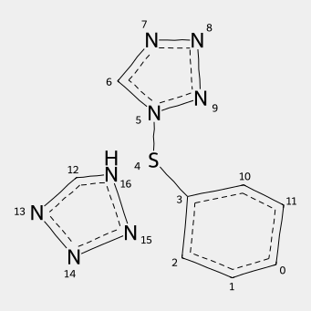 c1ccc(Sn2cnnn2)cc1.c1nnn[nH]1